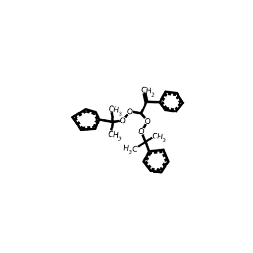 C=C(c1ccccc1)C(OOC(C)(C)c1ccccc1)OOC(C)(C)c1ccccc1